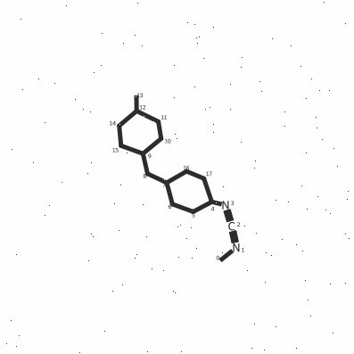 CN=C=NC1CCC(CC2CCC(C)CC2)CC1